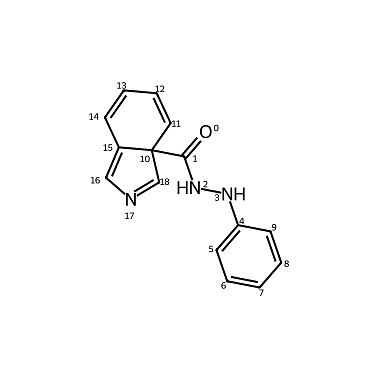 O=C(NNc1ccccc1)C12C=CC=CC1=CN=C2